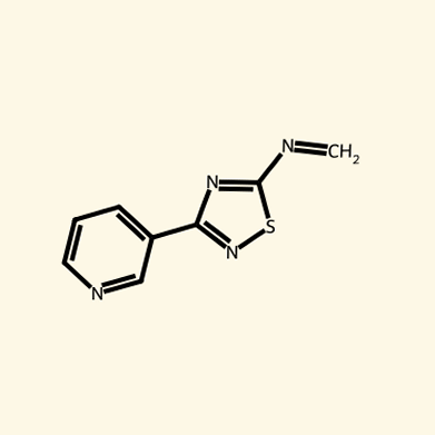 C=Nc1nc(-c2cccnc2)ns1